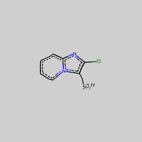 O=S(=O)(O)c1c(Cl)nc2ccccn12